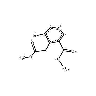 COC(=O)Cc1c(Br)cncc1C(=O)OC